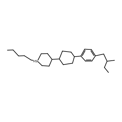 CCCCC[SiH]1CCC(C2CCC(c3ccc(CC(C)CC)cc3)CC2)CC1